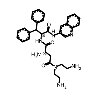 NCCN(CCN)C(=O)C[C@H](N)C(=O)N[C@H](C(=O)Nc1cnc2ccccc2c1)C(c1ccccc1)c1ccccc1